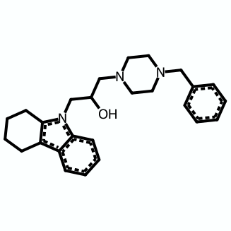 OC(CN1CCN(Cc2ccccc2)CC1)Cn1c2c(c3ccccc31)CCCC2